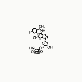 C[C@@H](Nc1nc(Cl)nc2c1cnn2[C@H]1C[C@H](O)[C@@H](COP(=O)(O)CP(=O)(O)O)O1)c1ccc(I)cc1